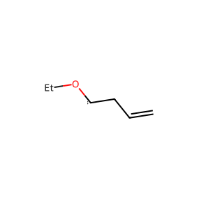 C=CC[C]OCC